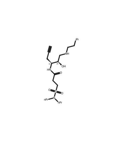 C#CC[C@H](NC(=O)CCS(=O)(=O)N(CCC)CCC)[C@H](O)CNCCC(C)C